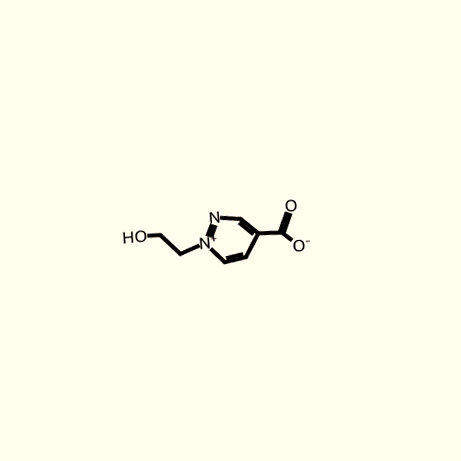 O=C([O-])c1cc[n+](CCO)nc1